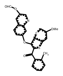 COc1ccc2c(Oc3ccc4cc(OC=O)cnc4c3)c(C(=O)c3ccccc3C)sc2c1